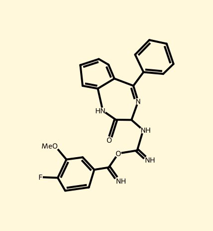 COc1cc(C(=N)OC(=N)NC2N=C(c3ccccc3)c3ccccc3NC2=O)ccc1F